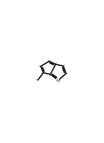 CC1=CC=C2C=[C][As]=C12